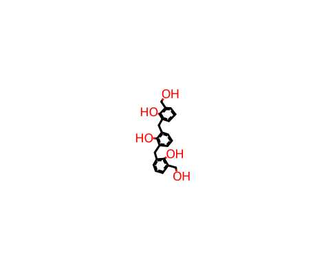 OCc1cccc(Cc2cccc(Cc3cccc(CO)c3O)c2O)c1O